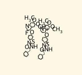 COc1cc2nccc(Oc3cc4sc(NC(=O)Cc5ccccc5)nc4cc3F)c2cc1OC.COc1cc2nccc(Oc3ccc4nc(NC(=O)Cc5ccccc5)sc4c3)c2cc1OC